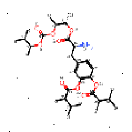 CC(C)C(C)OC(=O)OC(C)[C@H](C)OC(=O)[C@@H](N)Cc1ccc(OC(=O)C(C)C(C)C)c(OC(=O)C(C)C(C)C)c1